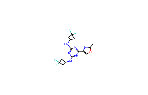 Cc1nc(-c2nc(NC3CC(F)(F)C3)nc(NC3CC(F)(F)C3)n2)co1